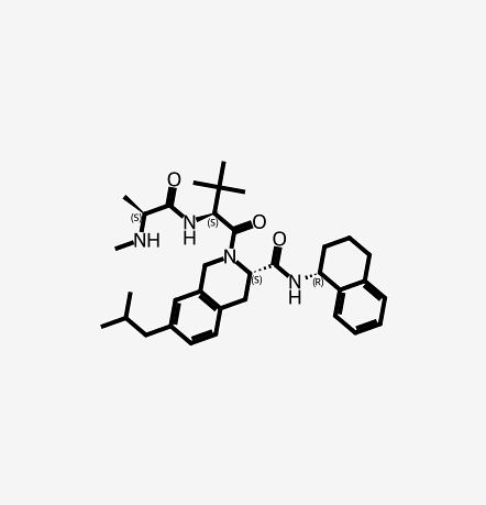 CN[C@@H](C)C(=O)N[C@H](C(=O)N1Cc2cc(CC(C)C)ccc2C[C@H]1C(=O)N[C@@H]1CCCc2ccccc21)C(C)(C)C